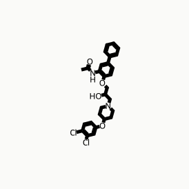 CC(=O)Nc1cc(-c2ccccc2)ccc1OCC(O)CN1CCC(Oc2ccc(Cl)c(Cl)c2)CC1